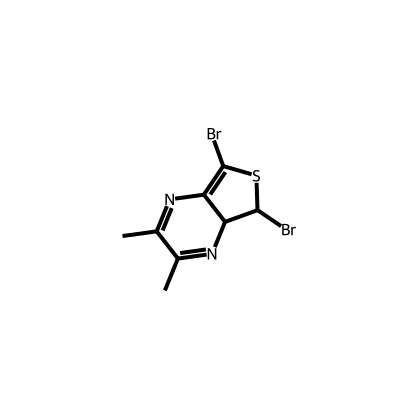 CC1=NC2=C(Br)SC(Br)C2N=C1C